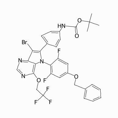 CC(C)(C)OC(=O)Nc1ccc(-c2c(Br)c3ncnc(OCC(F)(F)F)c3n2-c2c(F)cc(OCc3ccccc3)cc2F)cc1